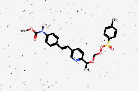 Cc1ccc(S(=O)OOCOC(C)c2ccc(/C=C/c3ccc(N(C)C(=O)OC(C)(C)C)cc3)cn2)cc1